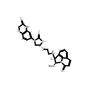 CO[C@@H]1n2c(=O)ccc3cccc(c32)[C@]1(C)NCCC[C@@H]1CN(c2ccc3c(c2)NC(=O)CS3)C(=O)O1